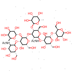 CC(=O)N[C@H]1[C@@H](O[C@H]2[C@@H](O)[C@@H](CO)O[C@@H](O[C@@H]3[C@@H](NC(C)=O)[C@H](O[C@H]4[C@@H](O)[C@@H](CO)O[C@@H](O[C@H]5[C@H](O)[C@@H](O)[C@H](O)O[C@@H]5CO)[C@@H]4O)O[C@H](CO)[C@H]3O[C@@H]3O[C@@H](C)[C@@H](O)[C@@H](O)[C@@H]3O)[C@@H]2O[C@@H]2O[C@@H](C)[C@@H](O)[C@@H](O)[C@@H]2O)O[C@H](CO)[C@H](O)[C@@H]1O